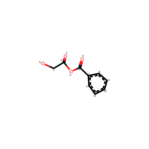 [O]CC(=O)OC(=O)c1ccccc1